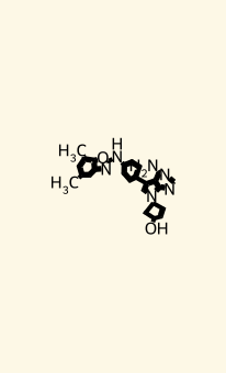 Cc1cc(C)c2oc(Nc3ccc(-c4cn(C5C=CC(O)C5)c5ncnc(N)c45)cc3)nc2c1